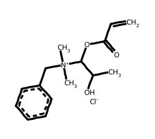 C=CC(=O)OC(C(C)O)[N+](C)(C)Cc1ccccc1.[Cl-]